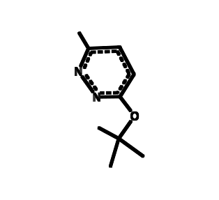 Cc1ccc(OC(C)(C)C)nn1